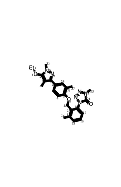 CCOc1c(C)c(-c2ccc(OCc3c(C)cccc3-n3nnn(C)c3=O)c(C)c2)nn1C